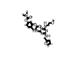 COCCNc1nc(NCc2ccco2)nc(N[C@@H](Cc2ccc(OC(=O)N(C)C)cc2)C(=O)O)n1